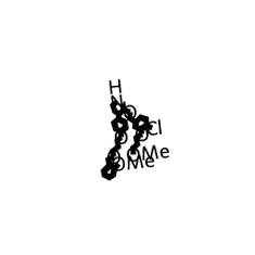 COCCCOc1cc(COC2CNCCC2c2ccc(OCCCOCc3ccccc3OC)cc2)ccc1Cl